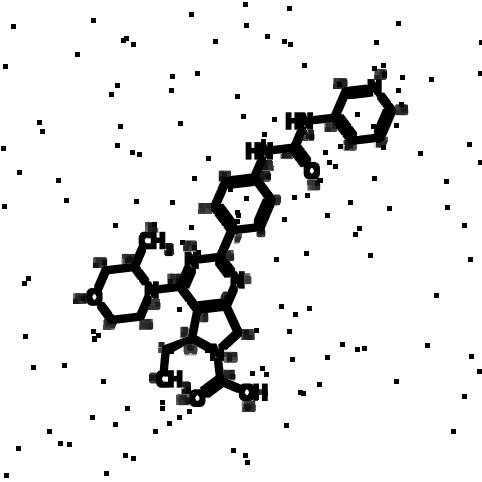 CC[C@H]1c2c(nc(-c3ccc(NC(=O)Nc4cccnc4)cc3)nc2N2CCOCC2C)CN1C(=O)O